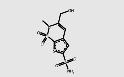 CN1C(CO)=Cc2cc(S(N)(=O)=O)sc2S1(=O)=O